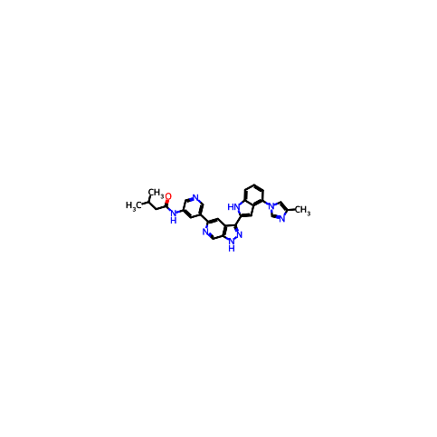 Cc1cn(-c2cccc3[nH]c(-c4n[nH]c5cnc(-c6cncc(NC(=O)CC(C)C)c6)cc45)cc23)cn1